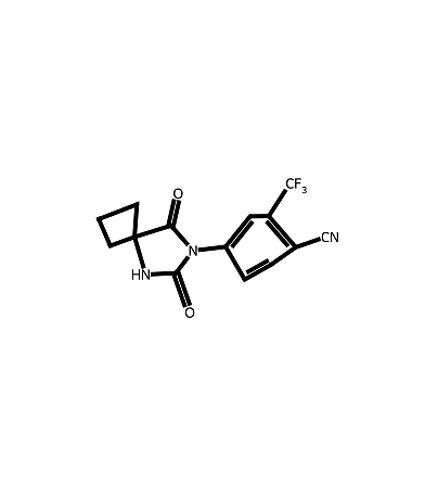 N#Cc1ccc(N2C(=O)NC3(CCC3)C2=O)cc1C(F)(F)F